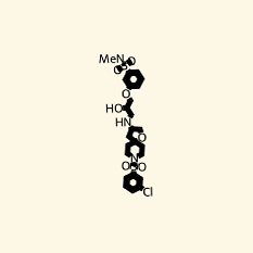 CNS(=O)(=O)c1cccc(OCC(O)CNC2COC3(CCN(S(=O)(=O)c4cccc(Cl)c4)CC3)C2)c1